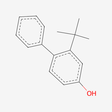 CC(C)(C)c1cc(O)ccc1-c1ccccc1